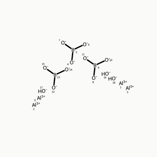 [Al+3].[Al+3].[Al+3].[Al+3].[O-]B([O-])[O-].[O-]B([O-])[O-].[O-]B([O-])[O-].[OH-].[OH-].[OH-]